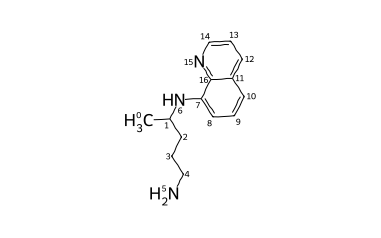 CC(CCCN)Nc1cccc2cccnc12